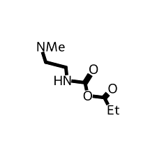 CCC(=O)OC(=O)NCCNC